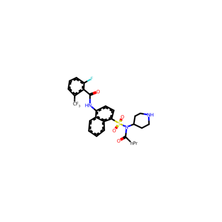 CCCC(=O)N(C1CCNCC1)S(=O)(=O)c1ccc(NC(=O)c2c(F)cccc2C(F)(F)F)c2ccccc12